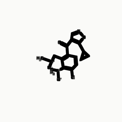 C[S+]([O-])Cc1c(C(=O)c2cnoc2C2CC2)ccc(Cl)c1[S+](C)[O-]